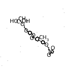 C=C(CO)C(O)OCCCOc1ccc(OC(=O)c2ccc(-c3ccc(OCCCN4C(=O)C=CC4=O)cc3)c(C)c2)cc1